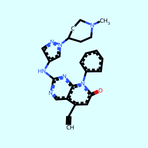 C#Cc1cc(=O)n(-c2ccccc2)c2nc(Nc3cnn(C4CCN(C)CC4)c3)ncc12